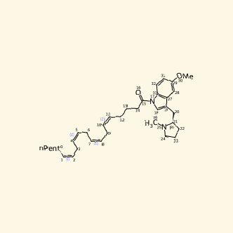 CCCCC/C=C\C/C=C\C/C=C\C/C=C\CCCC(=O)n1cc(C[C@H]2CCCN2C)c2cc(OC)ccc21